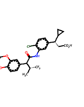 C[C@H](C(C(=O)Nc1cc([C@@H](CC(=O)O)C2CC2)ccc1Cl)c1ccc2c(c1)OCCO2)C(F)(F)F